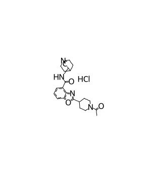 CC(=O)N1CCC(c2nc3c(C(=O)NC4CN5CCC4CC5)cccc3o2)CC1.Cl